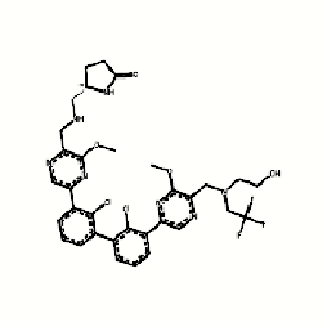 COc1nc(-c2cccc(-c3cccc(-c4cnc(CN(CCO)CC(F)(F)F)c(OC)n4)c3Cl)c2Cl)cnc1CNC[C@@H]1CCC(=O)N1